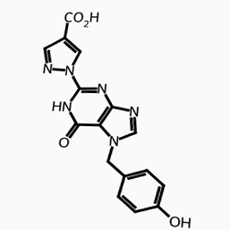 O=C(O)c1cnn(-c2nc3ncn(Cc4ccc(O)cc4)c3c(=O)[nH]2)c1